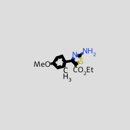 CCOC(=O)c1sc(N)nc1-c1ccc(OC)cc1C